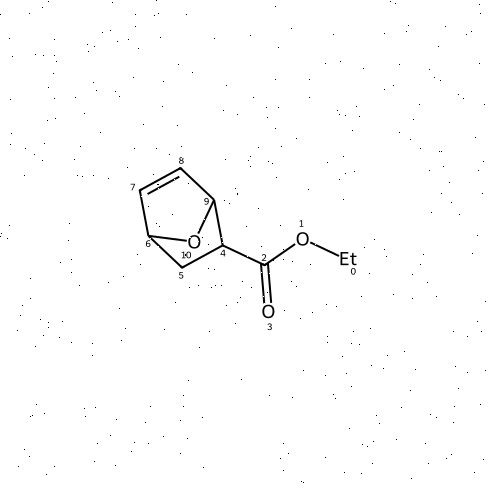 CCOC(=O)C1CC2C=CC1O2